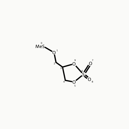 CSOCC1COS(=O)(=O)O1